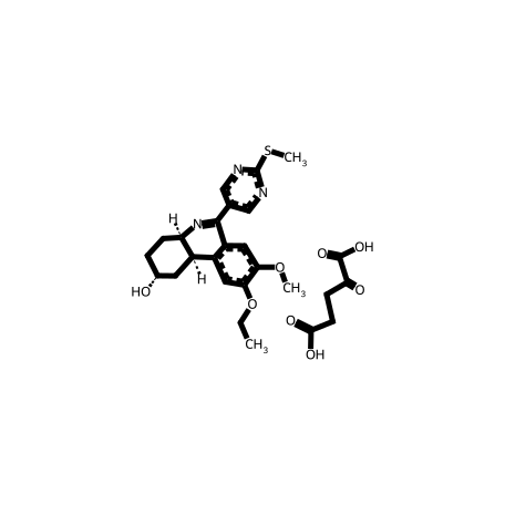 CCOc1cc2c(cc1OC)C(c1cnc(SC)nc1)=N[C@@H]1CC[C@@H](O)C[C@H]21.O=C(O)CCC(=O)C(=O)O